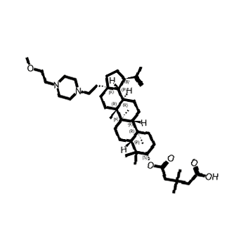 C=C(C)[C@@H]1CC[C@]2(CCN3CCN(CCOC)CC3)CC[C@]3(C)[C@H](CC[C@@H]4[C@@]5(C)CC[C@H](OC(=O)CC(C)(C)CC(=O)O)C(C)(C)[C@@H]5CC[C@]43C)[C@@H]12